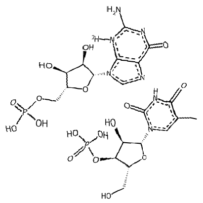 Cc1cn([C@@H]2O[C@H](CO)[C@@H](OP(=O)(O)O)[C@H]2O)c(=O)[nH]c1=O.[2H]n1c(N)nc(=O)c2ncn([C@@H]3O[C@H](COP(=O)(O)O)[C@@H](O)[C@H]3O)c21